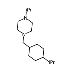 CC(C)C1CCC(CN2CCN(C(C)C)CC2)CC1